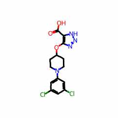 O=C(O)c1[nH]nnc1OC1CCN(c2cc(Cl)cc(Cl)c2)CC1